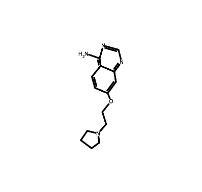 Nc1ncnc2cc(OCCN3CCCC3)ccc12